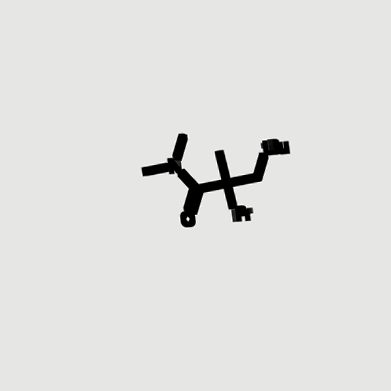 CC(C)C(C)(CC(C)(C)C)C(=O)N(C)C